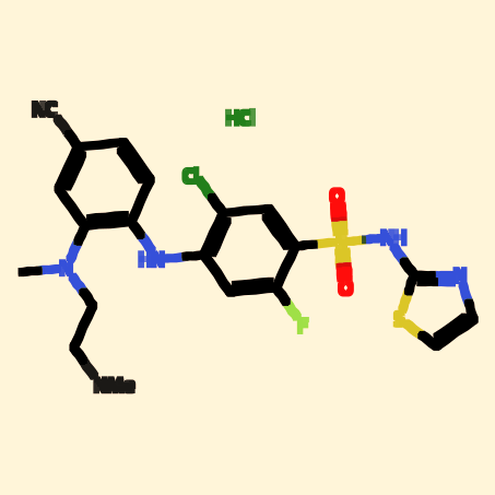 CNCCN(C)c1cc(C#N)ccc1Nc1cc(F)c(S(=O)(=O)Nc2nccs2)cc1Cl.Cl